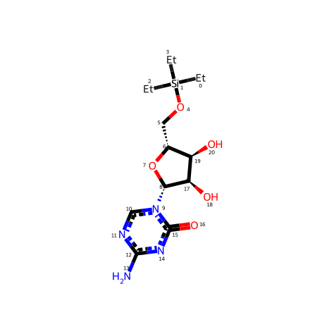 CC[Si](CC)(CC)OC[C@H]1O[C@@H](n2cnc(N)nc2=O)[C@H](O)[C@@H]1O